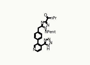 CCCCCn1nc(C(=O)CCC)nc1Cc1ccc(-c2cnccc2-c2nnn[nH]2)cc1